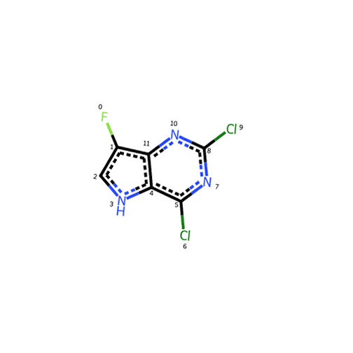 Fc1c[nH]c2c(Cl)nc(Cl)nc12